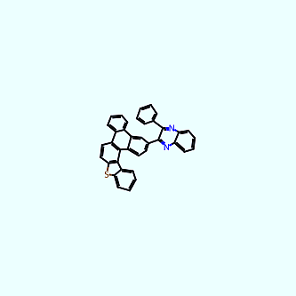 c1ccc(-c2nc3ccccc3nc2-c2ccc3c(c2)c2ccccc2c2ccc4sc5ccccc5c4c23)cc1